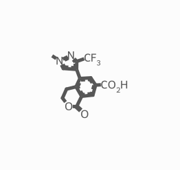 Cn1cc(-c2cc(C(=O)O)cc3c2CCOC3=O)c(C(F)(F)F)n1